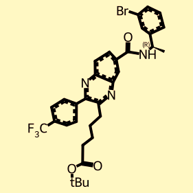 C[C@@H](NC(=O)c1ccc2nc(-c3ccc(C(F)(F)F)cc3)c(CCCCC(=O)OC(C)(C)C)nc2c1)c1cccc(Br)c1